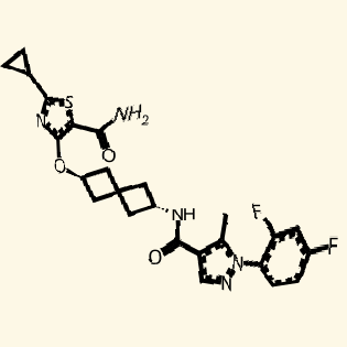 Cc1c(C(=O)N[C@H]2CC3(C2)C[C@H](Oc2nc(C4CC4)sc2C(N)=O)C3)cnn1-c1ccc(F)cc1F